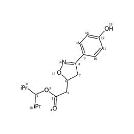 CC(C)C(OC(=O)CC1CC(c2ccc(O)cc2)=NO1)C(C)C